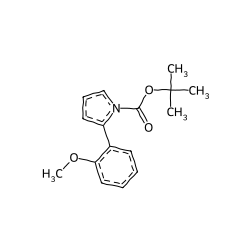 COc1ccccc1-c1cccn1C(=O)OC(C)(C)C